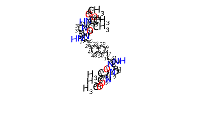 COO/C=N\[C@H](C(=O)N1CCC[C@H]1c1nc(CCc2ccc3cc(CCc4c[nH]c([C@@H]5CCCN5C(=O)[C@@H](NC(=O)OC)C(C)C)n4)ccc3c2)c[nH]1)C(C)C